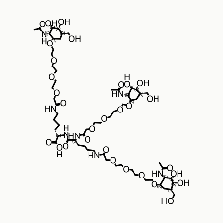 CC(=O)N[C@@H]1[C@@H](O)[C@@H](O)[C@@H](CO)C[C@H]1OCCOCCOCCOCC(=O)NCCCC[C@H](NC(=O)[C@H](CCCCNC(=O)COCCOCCOCCO[C@@H]1C[C@H](CO)[C@H](O)[C@H](O)[C@H]1NC(C)=O)NC(=O)COCCOCCOCO[C@@H]1C[C@H](CO)[C@H](O)[C@H](O)[C@H]1NC(C)=O)C(=O)O